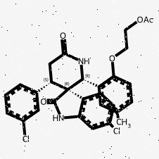 CC(=O)OCCOc1ccc(C)cc1[C@H]1NC(=O)C[C@@H](c2cccc(Cl)c2)[C@]12C(=O)Nc1cc(Cl)ccc12